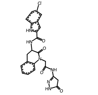 O=C1CC(NC(=O)CN2C(=O)C(NC(=O)c3cc4cc(Cl)ccc4[nH]3)Cc3ccccc32)=NN1